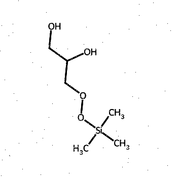 C[Si](C)(C)OOCC(O)CO